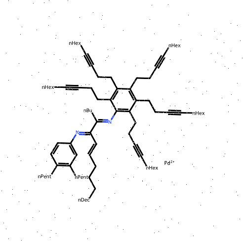 CCCCCCC#CCCc1c(CCC#CCCCCCC)c(CCC#CCCCCCC)c(/N=C(CCCC)/C(/C=C/CCCCCCCCCCCCC)=N/c2ccc(CCCCC)c(CCCCC)c2)c(CCC#CCCCCCC)c1CCC#CCCCCCC.[Pd+2]